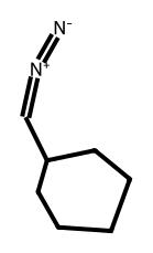 [N-]=[N+]=CC1CCCCC1